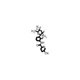 C[C@]1(F)CC(F)(F)[C@@](C)(c2cccc(NC(=O)c3ccc(C#N)cn3)c2F)N=C1N